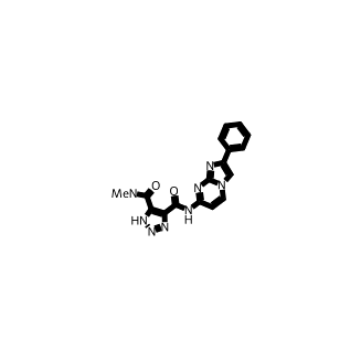 CNC(=O)c1[nH]nnc1C(=O)Nc1ccn2cc(-c3ccccc3)nc2n1